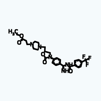 CCOC(=O)CCN1CCN(CC2CN(c3ccc(C(=N)NC(=O)c4ccc(C(F)(F)F)cc4)cc3)C(=O)O2)CC1